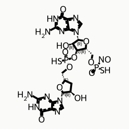 Nc1nc2c(ncn2[C@@H]2O[C@H](COP(=O)(S)N=O)[C@@H](OP(=O)(S)OC[C@@H]3C[C@@H](O)[C@H](n4cnc5c(=O)[nH]c(N)nc54)O3)[C@H]2O)c(=O)[nH]1